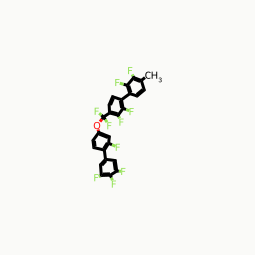 Cc1ccc(-c2ccc(C(F)(F)Oc3ccc(-c4cc(F)c(F)c(F)c4)c(F)c3)c(F)c2F)c(F)c1F